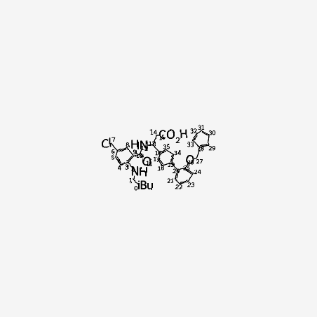 CCC(C)CNc1ccc(Cl)cc1C(=O)NC(CC(=O)O)c1ccc(-c2ccccc2OCc2ccccc2)cc1